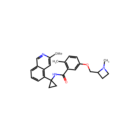 COc1cc2c(C3(NC(=O)c4cc(OCC5CCN5C)ccc4C)CC3)cccc2cn1